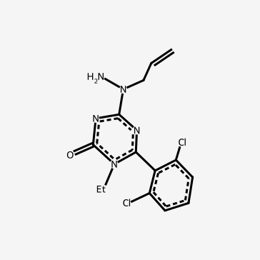 C=CCN(N)c1nc(-c2c(Cl)cccc2Cl)n(CC)c(=O)n1